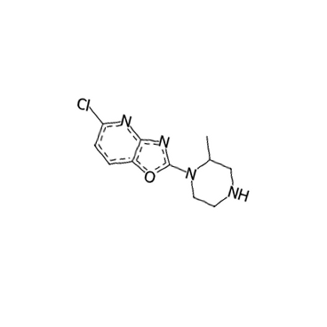 CC1CNCCN1c1nc2nc(Cl)ccc2o1